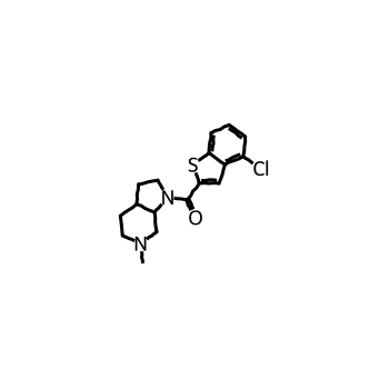 CN1CCC2CCN(C(=O)c3cc4c(Cl)cccc4s3)C2C1